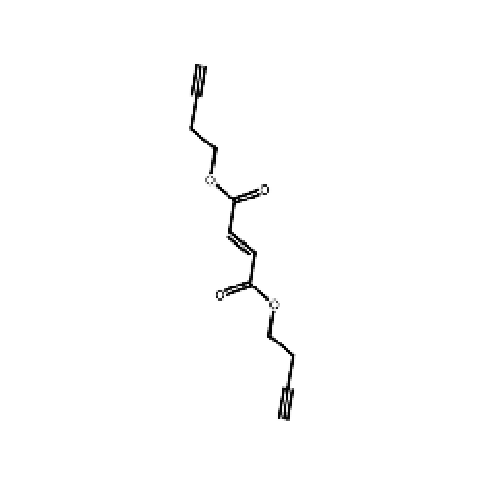 C#CCCOC(=O)C=CC(=O)OCCC#C